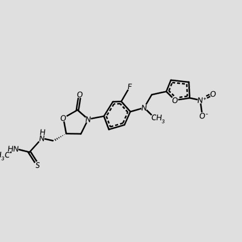 CNC(=S)NC[C@H]1CN(c2ccc(N(C)Cc3ccc([N+](=O)[O-])o3)c(F)c2)C(=O)O1